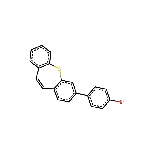 Brc1ccc(-c2ccc3c(c2)Sc2ccccc2C=C3)cc1